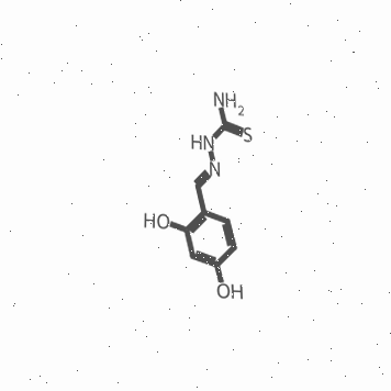 NC(=S)N/N=C/c1ccc(O)cc1O